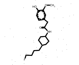 COc1cc(CC(=O)NC2CCC(CCCCF)CC2)ccc1O